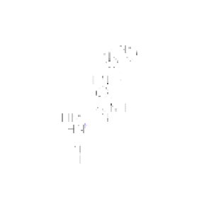 N#Cc1c(-c2ccc(F)cc2)c(=O)c(C(=O)Nc2ccc(-c3cc(/C(C=N)=C/NC4CCNCC4)cnc3N)c(F)c2)cn1C1CC1